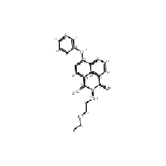 CCOCCNN1C(=O)c2cccc3c(Oc4ccccc4)ccc(c23)C1=O